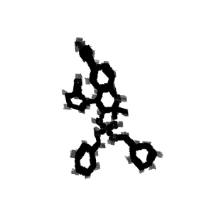 CC1(C)Oc2ccc(C#N)cc2[C@H](N2CCCC2=O)[C@H]1OP(=O)(OCc1ccccc1)OCc1ccccc1